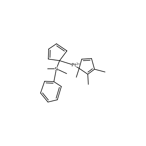 CC1=C(C)[C](C)([Pt+2][C]2([Si](C)(C)c3ccccc3)C=CC=C2)C=C1